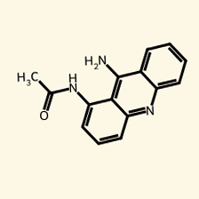 CC(=O)Nc1cccc2nc3ccccc3c(N)c12